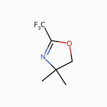 CC1(C)COC(C(F)(F)F)=N1